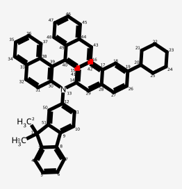 CC1(C)c2ccccc2-c2ccc(N(c3ccc4cc(C5CCCCC5)ccc4c3)c3ccc4ccccc4c3-c3cccc4ccccc34)cc21